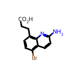 Nc1ccc2c(Br)ccc(CCC(=O)O)c2n1